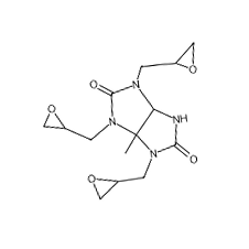 CC12C(NC(=O)N1CC1CO1)N(CC1CO1)C(=O)N2CC1CO1